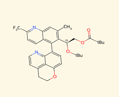 Cc1cc2nc(C(F)(F)F)ccc2c(-c2ccc3c4c(ccnc24)CCO3)c1[C@@H](COC(=O)C(C)(C)C)OC(C)(C)C